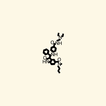 CCCCN(C)C(=O)c1ccc2c(c1)C(=C(Nc1ccc(C(=O)NCCN(CC)CC)cc1)c1ccccc1)C(=O)N2